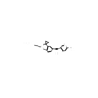 CCOc1cc(C)c(C#Cc2ccc3c(c2)C2(CC2)CN(CCCC(=O)O)C3)cn1